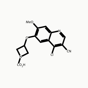 COc1cc2ncc(C#N)c(Cl)c2cc1OC1CN(C(=O)O)C1